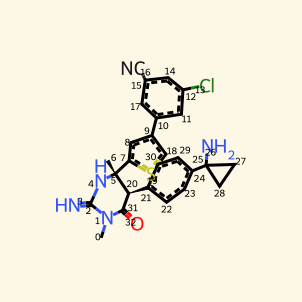 CN1C(=N)N[C@](C)(c2cc(-c3cc(Cl)cc(C#N)c3)cs2)[C@@H](c2ccc(C3(N)CC3)cc2)C1=O